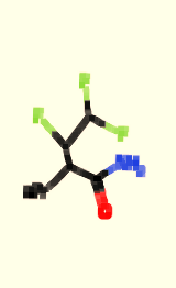 CCCC(C(N)=O)C(F)C(F)F